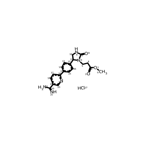 COC(=O)CCN1C(=O)NCC1c1ccc(-c2ccc(C(=N)N)cn2)cc1.Cl